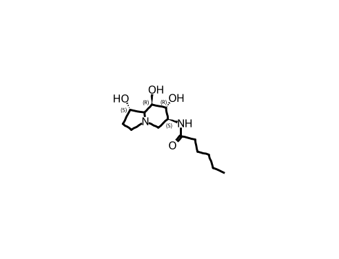 CCCCCC(=O)N[C@H]1CN2CC[C@H](O)C2[C@@H](O)[C@@H]1O